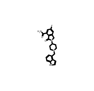 NC(=O)c1cc(F)cc2c1C(=O)N(C1CCN(Cc3cccc4[nH]ccc34)CC1)C2